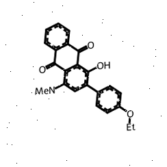 CCOc1ccc(-c2cc(NC)c3c(c2O)C(=O)c2ccccc2C3=O)cc1